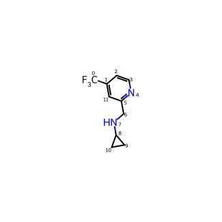 FC(F)(F)c1ccnc(CNC2CC2)c1